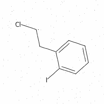 Cl[CH]Cc1ccccc1I